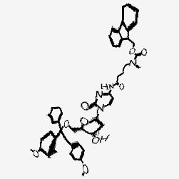 COc1ccc(C(OCC2O[C@@H](n3ccc(NC(=O)CCCN(C)C(=O)OCC4c5ccccc5-c5ccccc54)nc3=O)C[C@H]2O)(c2ccccc2)c2ccc(OC)cc2)cc1